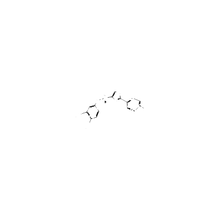 Cc1cc(NS(=O)(=O)c2csc(-c3ccc(F)cc3)n2)ccc1C(=O)O